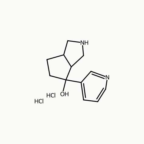 Cl.Cl.OC1(c2cccnc2)CCC2CNCC21